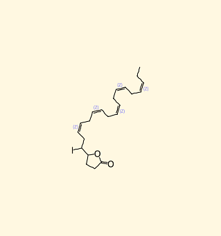 CC/C=C\C/C=C\C/C=C\C/C=C\C/C=C\CC(I)C1CCC(=O)O1